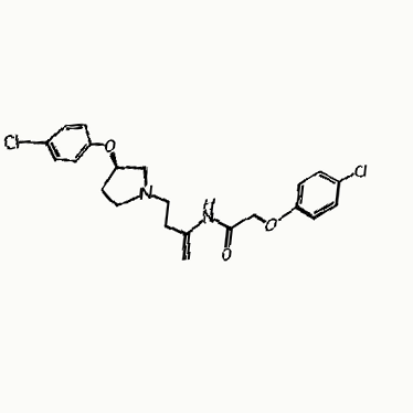 C=C(CCN1CC[C@@H](Oc2ccc(Cl)cc2)C1)NC(=O)COc1ccc(Cl)cc1